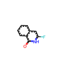 O=c1[nH]c(F)cc2ccccc12